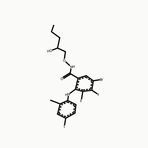 CCCC(O)CONC(=O)c1cc(Br)c(F)c(F)c1Nc1ccc(I)cc1C